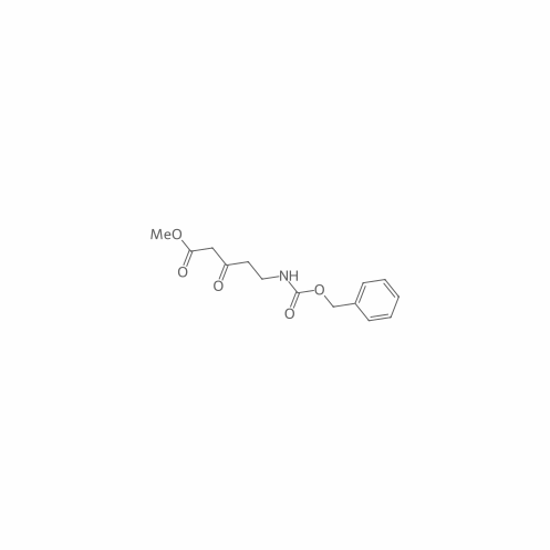 COC(=O)CC(=O)CCNC(=O)OCc1ccccc1